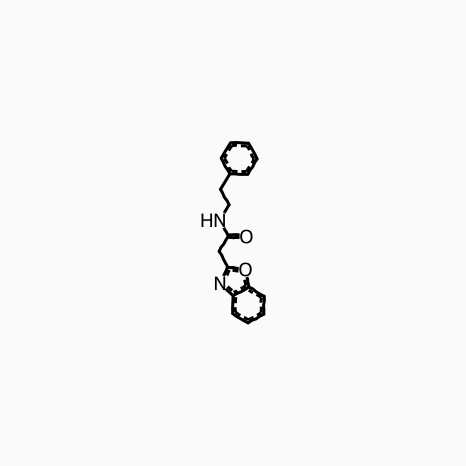 O=C(Cc1nc2ccccc2o1)NCCc1ccccc1